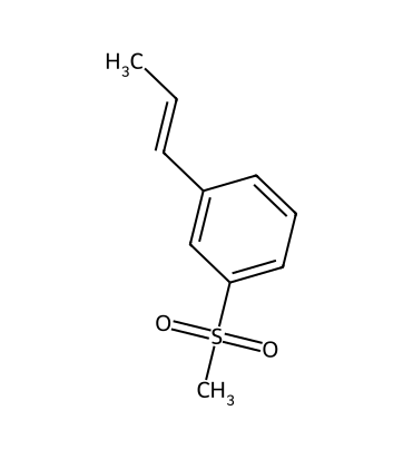 C/C=C/c1cccc(S(C)(=O)=O)c1